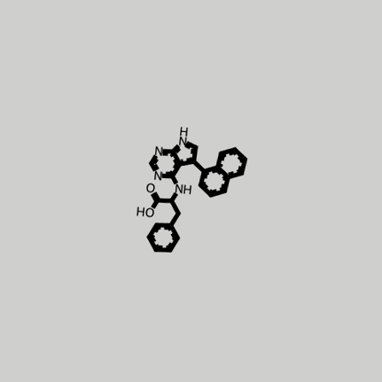 O=C(O)C(Cc1ccccc1)Nc1ncnc2[nH]cc(-c3cccc4ccccc34)c12